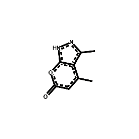 Cc1cc(=O)oc2[nH]nc(C)c12